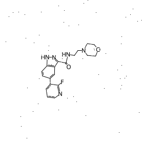 O=C(NCCN1CCOCC1)c1n[nH]c2ccc(-c3cccnc3F)cc12